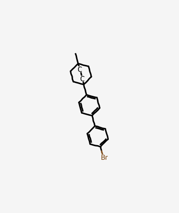 CC12CCC(c3ccc(-c4ccc(Br)cc4)cc3)(CC1)CC2